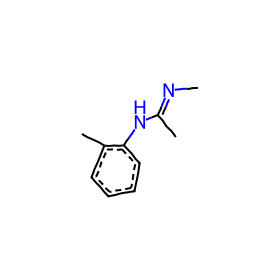 C/N=C(\C)Nc1ccccc1C